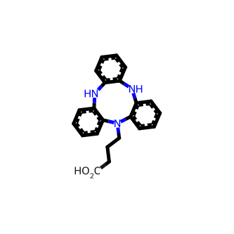 O=C(O)CCCN1c2ccccc2Nc2ccccc2Nc2ccccc21